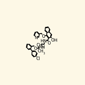 CC(C)(NCCNC(=O)c1c(O)cc2ccccc2c1OCc1cccnc1)OCc1ccccc1-c1ccc(Cl)cc1